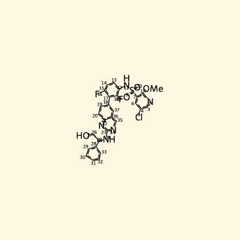 COc1ncc(Cl)cc1S(=O)(=O)Nc1ccc(F)c(-c2ccc3nc(N[C@H](CO)c4ccccc4)ncc3c2)c1F